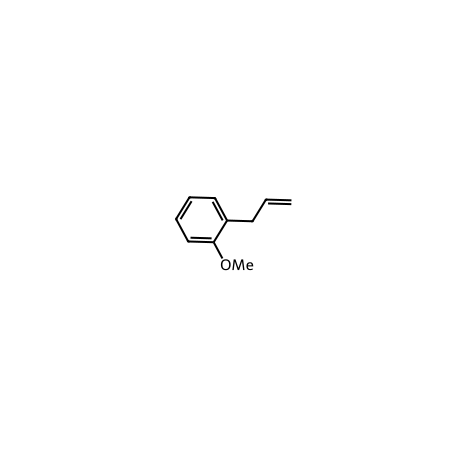 [CH2]Oc1ccccc1CC=C